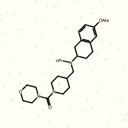 CCCN(CC1CCN(C(=O)N2CCOCC2)CC1)C1CCc2cc(OC)ccc2C1